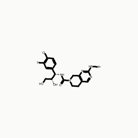 CC(C)Nc1ncc2c(n1)CN(C(=O)N[C@@H](c1ccc(Cl)c(F)c1)[C@H](O)CO)CC2